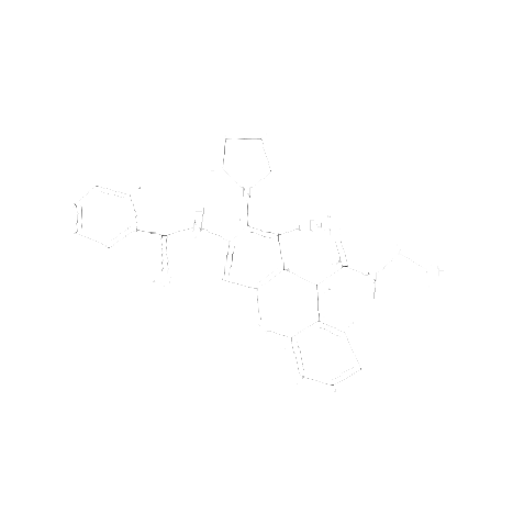 CCCCc1c2c(cc(NC(=O)c3ccccc3)c1N1CCCC1)Sc1ccccc1C2C(=O)NCC(F)(F)F